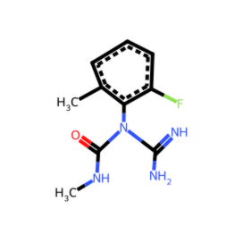 CNC(=O)N(C(=N)N)c1c(C)cccc1F